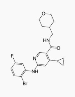 O=C(NCC1CCOCC1)c1cnc(Nc2cc(F)ccc2Br)cc1C1CC1